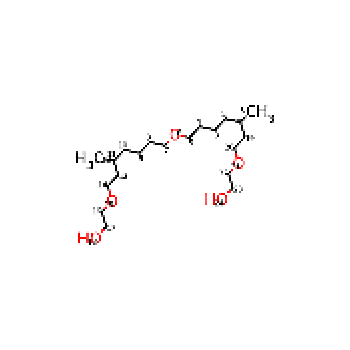 CC(CCCCOCCCCC(C)CCOCCO)CCOCCO